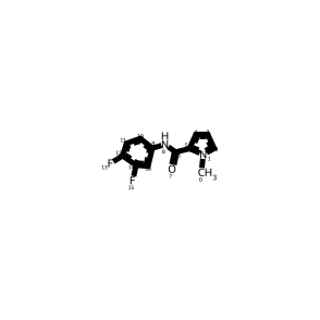 Cn1cccc1C(=O)Nc1ccc(F)c(F)c1